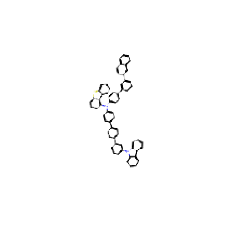 c1cc(-c2ccc(N(c3ccc(-c4ccc(-c5cccc(-n6c7ccccc7c7ccccc76)c5)cc4)cc3)c3cccc4sc5ccccc5c34)cc2)cc(-c2ccc3ccccc3c2)c1